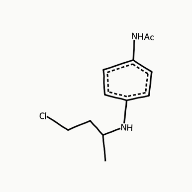 CC(=O)Nc1ccc(NC(C)CCCl)cc1